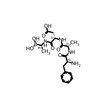 C[C@H](NC(=O)[C@H](CC(=O)O)NC(=O)[C@H](C)NC(=O)[C@@H](N)Cc1ccccc1)B(O)O